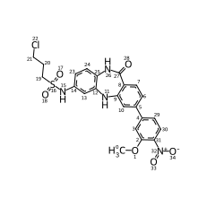 COc1cc(-c2ccc3c(c2)Nc2cc(NS(=O)(=O)CCCCl)ccc2NC3=O)ccc1[N+](=O)[O-]